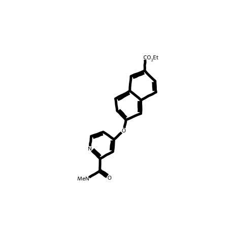 CCOC(=O)c1ccc2cc(Oc3ccnc(C(=O)NC)c3)ccc2c1